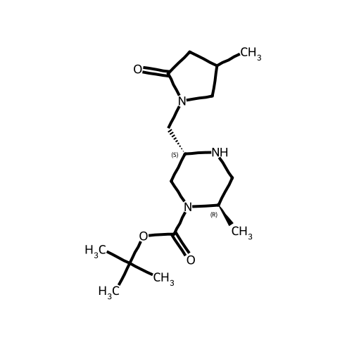 CC1CC(=O)N(C[C@H]2CN(C(=O)OC(C)(C)C)[C@H](C)CN2)C1